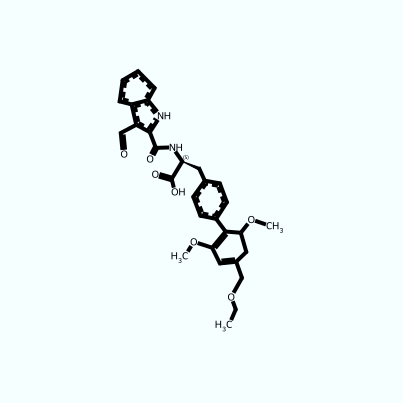 CCOCC1=CC(OC)=C(c2ccc(C[C@H](NC(=O)c3[nH]c4ccccc4c3C=O)C(=O)O)cc2)C(OC)C1